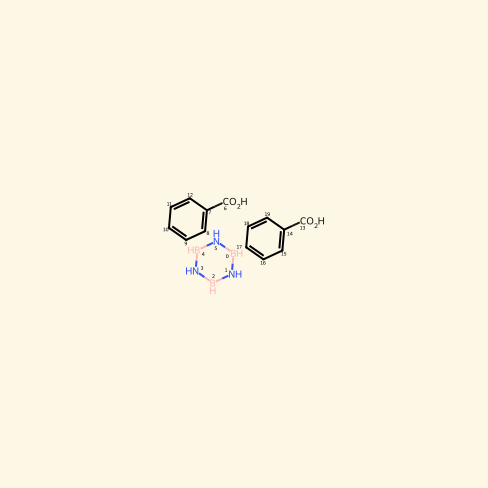 B1NBNBN1.O=C(O)c1ccccc1.O=C(O)c1ccccc1